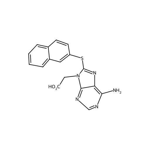 Nc1ncnc2c1nc(Sc1ccc3ccccc3c1)n2CC(=O)O